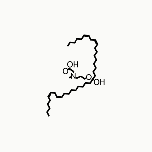 CCCCC/C=C\C/C=C\CCCCCCCCC(O)(CCCCCCCC/C=C\C/C=C\CCCCC)OCCCN(C)CC(=O)O